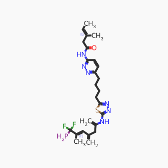 C=C(/C=C(\C)C(F)(F)P)CC(=C)Nc1nnc(CCCCc2ccc(NC(=O)C/C(C)=C/C)nn2)s1